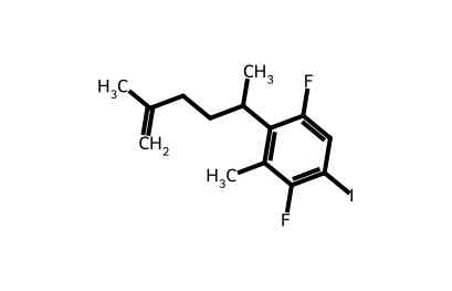 C=C(C)CCC(C)c1c(F)cc(I)c(F)c1C